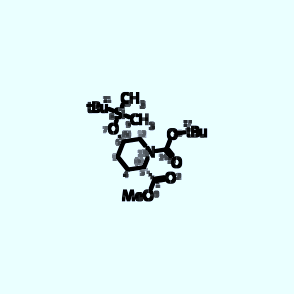 COC(=O)[C@@H]1CC[C@H](O[Si](C)(C)C(C)(C)C)CN1C(=O)OC(C)(C)C